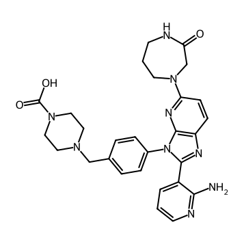 Nc1ncccc1-c1nc2ccc(N3CCCNC(=O)C3)nc2n1-c1ccc(CN2CCN(C(=O)O)CC2)cc1